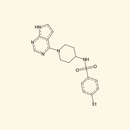 CCc1ccc(S(=O)(=O)NC2CCN(c3ncnc4[nH]ccc34)CC2)cc1